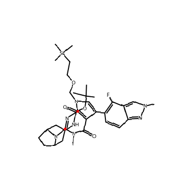 Cn1cc2c(F)c(-c3cn(COCC[Si](C)(C)C)c4nc(N5C6CCC5CC(NC(=O)OC(C)(C)C)C6)n(C)c(=O)c34)ccc2n1